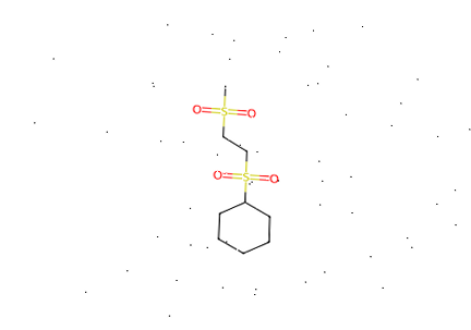 CS(=O)(=O)CCS(=O)(=O)C1CCCCC1